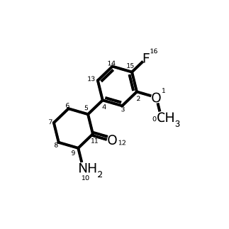 COc1cc(C2CCCC(N)C2=O)ccc1F